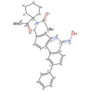 CCCCC(=O)N(Cc1ccc(-c2cc(-c3ccccc3)ccc2/C(N)=N/O)cc1)C1(C(=O)OC)CCCCC1